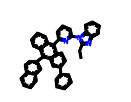 CCc1nc2ccccc2n1-c1cccc(-c2c3ccccc3c(-c3ccc4ccccc4c3)c3cc(-c4ccccc4)ccc23)n1